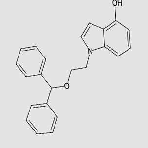 Oc1cccc2c1ccn2CCOC(c1ccccc1)c1ccccc1